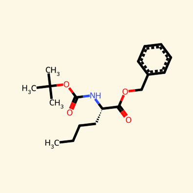 CCCC[C@H](NC(=O)OC(C)(C)C)C(=O)OCc1ccccc1